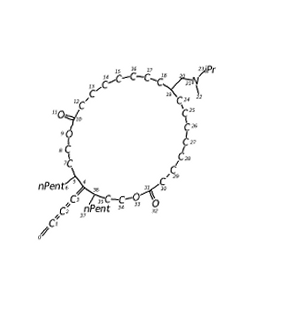 C=C=C=C=C1C(CCCCC)CCOC(=O)CCCCCCCC(CN(C)C(C)C)CCCCCCCC(=O)OCCC1CCCCC